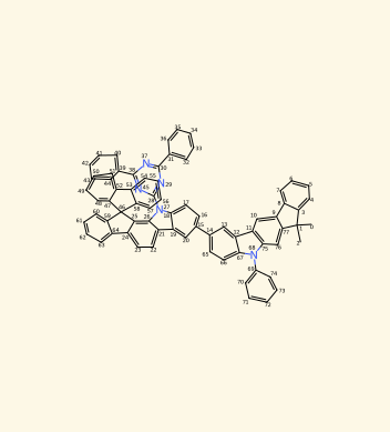 CC1(C)c2ccccc2-c2cc3c4cc(-c5ccc6c(c5)c5ccc7c(c5n6-c5nc(-c6ccccc6)nc(-c6ccccc6)n5)C5(c6ccccc6-c6ccccc65)c5ccccc5-7)ccc4n(-c4ccccc4)c3cc21